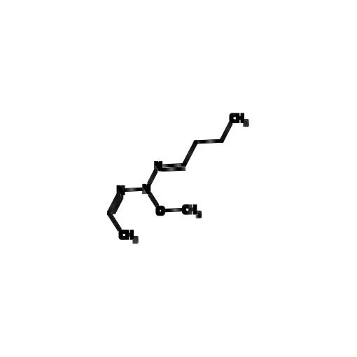 C/C=N\N(/N=C/CCC)OC